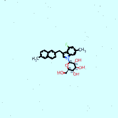 Cc1ccc2cc(Cc3cn([C@@H]4O[C@H](CO)[C@@H](O)[C@H](O)[C@H]4O)c4cc(C)cc(F)c34)ccc2c1